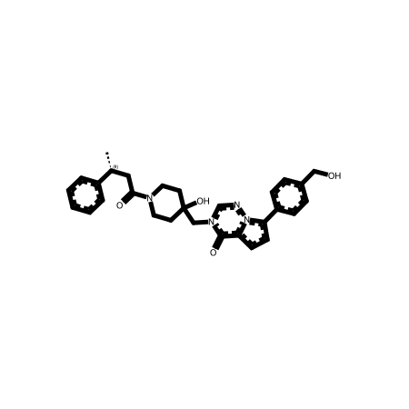 C[C@H](CC(=O)N1CCC(O)(Cn2cnn3c(-c4ccc(CO)cc4)ccc3c2=O)CC1)c1ccccc1